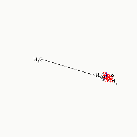 CCCCCCCCCCCCCCCCCCCCCCCCCCCCCCCCCCCCCCCCCCCCCCCCCCCCCCCCCCCCCCCCCNC(=O)OCC(C)(COC(=O)C(C)OC(=O)C(C)O)C(=O)OCc1ccccc1